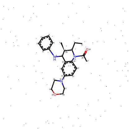 CCC1[C@H](C)C(Nc2ccccc2)c2cc(N3CCOCC3)ccc2N1C(C)=O